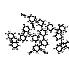 N#Cc1cnc(-c2cccc(-c3cc(-c4cccc(-n5c6ccccc6c6cc(-n7c8ccccc8c8ccccc87)ccc65)c4)c(-c4cccc(-c5ncc(C#N)cc5C#N)c4)cc3-c3cccc(-n4c5ccccc5c5cc(-n6c7ccccc7c7ccccc76)ccc54)c3)c2)c(C#N)c1